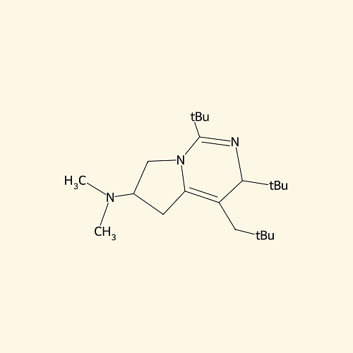 CN(C)C1CC2=C(CC(C)(C)C)C(C(C)(C)C)N=C(C(C)(C)C)N2C1